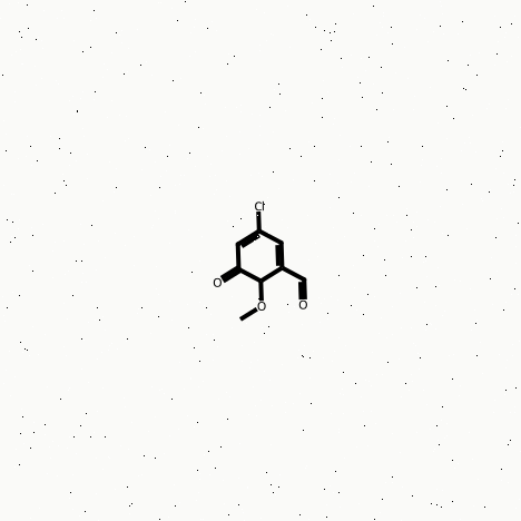 COC1C(=O)C=C(Cl)C=C1C=O